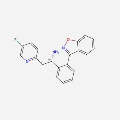 N[C@@H](Cc1ccc(F)cn1)c1ccccc1-c1noc2ccccc12